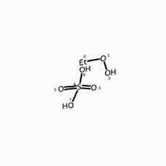 CCOO.O=S(=O)(O)O